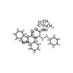 CC(C)(C)NC(=O)C(CCc1ccccc1)n1c(=O)c2c3ccccc3nn2c2ccccc21